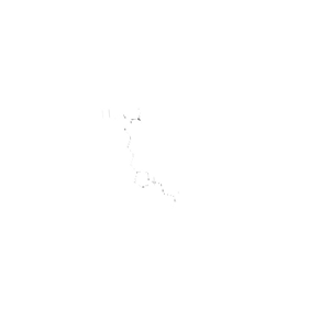 CC(=O)N(C)CCCCCC1CCN(CCC(C)C)C1